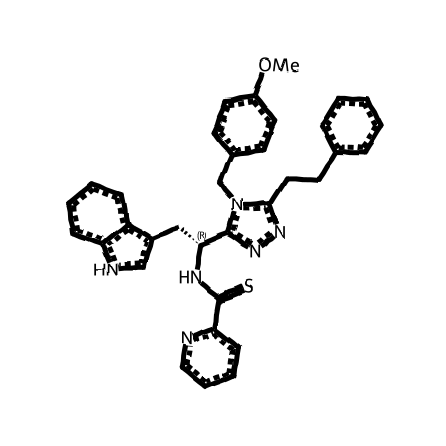 COc1ccc(Cn2c(CCc3ccccc3)nnc2[C@@H](Cc2c[nH]c3ccccc23)NC(=S)c2ccccn2)cc1